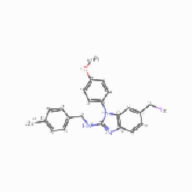 CCCOc1ccc(-n2c(NCc3ccc(C(C)(C)C)cc3)nc3ccc(CI)cc32)cc1